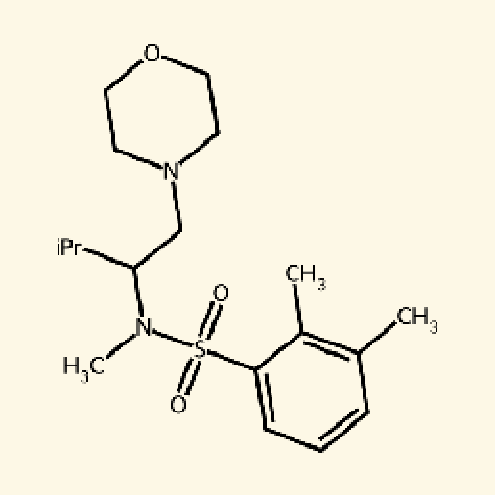 Cc1cccc(S(=O)(=O)N(C)C(CN2CCOCC2)C(C)C)c1C